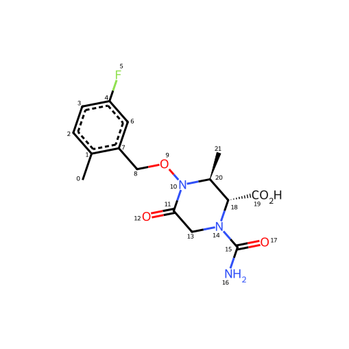 Cc1ccc(F)cc1CON1C(=O)CN(C(N)=O)[C@@H](C(=O)O)[C@@H]1C